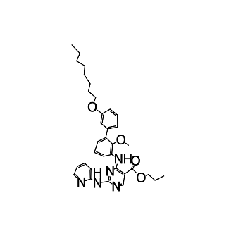 CCCCCCCCOc1cccc(-c2cccc(Nc3nc(Nc4ccccn4)ncc3C(=O)OCCC)c2OC)c1